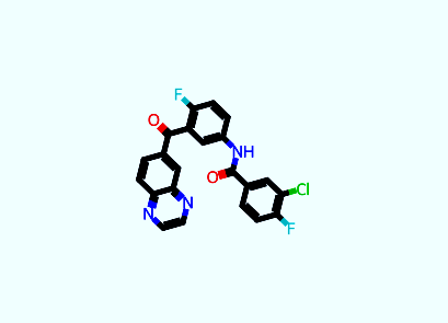 O=C(Nc1ccc(F)c(C(=O)c2ccc3nccnc3c2)c1)c1ccc(F)c(Cl)c1